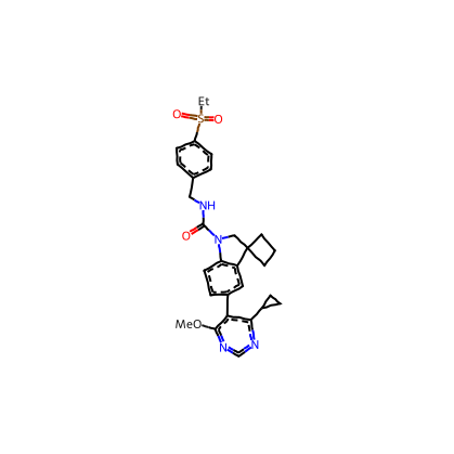 CCS(=O)(=O)c1ccc(CNC(=O)N2CC3(CCC3)c3cc(-c4c(OC)ncnc4C4CC4)ccc32)cc1